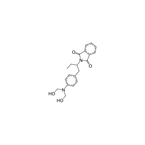 CCC(Cc1ccc(N(CO)CO)cc1)N1C(=O)c2ccccc2C1=O